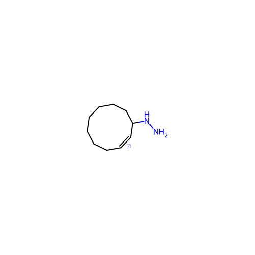 NNC1/C=C\CCCCCCC1